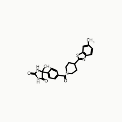 Cc1ccc2nc(C3CCN(C(=O)c4ccc(C5(C)NC(=O)NC5=O)cc4)CC3)sc2c1